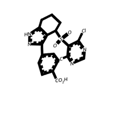 O=C(O)c1ccc(-c2n[nH]c3c2C(S(=O)(=O)c2c(Cl)ncnc2C(F)(F)F)CCC3)cc1